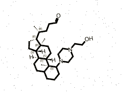 C[C@H](CCC=O)[C@H]1CC[C@H]2[C@@H]3CCC4CCCC(N5CCN(CCO)CC5)[C@]4(C)[C@H]3CC[C@]12C